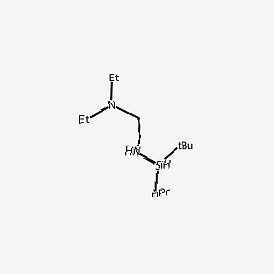 CCC[SiH](NCN(CC)CC)C(C)(C)C